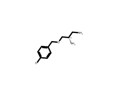 NC[C@H](N)COCc1ccc(Cl)cc1